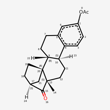 CC(=O)Oc1ccc2c(c1)CC[C@@H]1[C@@H]2CC[C@]2(C)C(=O)[C@H]3CC[C@@]12C3